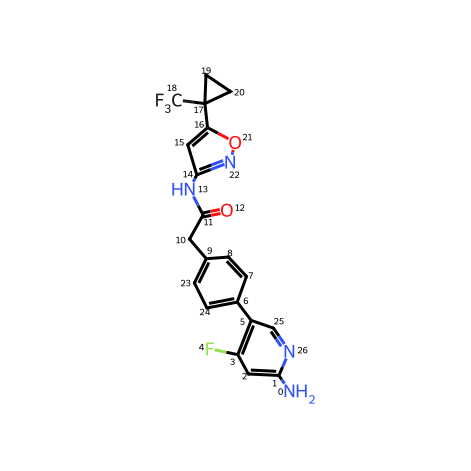 Nc1cc(F)c(-c2ccc(CC(=O)Nc3cc(C4(C(F)(F)F)CC4)on3)cc2)cn1